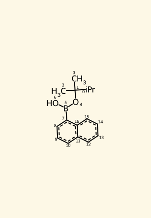 CC(C)C(C)(C)OB(O)c1cccc2ccccc12